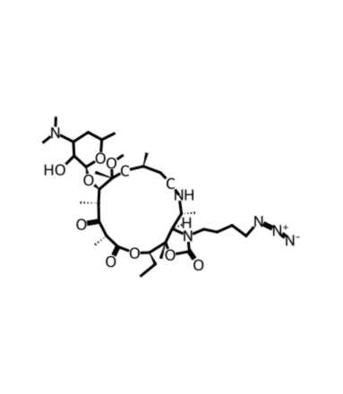 CC[C@H]1OC(=O)[C@H](C)C(=O)[C@H](C)[C@@H](O[C@@H]2OC(C)CC(N(C)C)C2O)[C@](C)(OC)C[C@@H](C)CCN[C@H](C)[C@H]2N(CCCCN=[N+]=[N-])C(=O)O[C@]12C